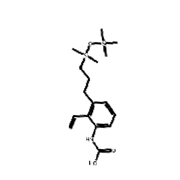 C=Cc1c(CCC[Si](C)(C)O[Si](C)(C)C)cccc1NC(=O)O